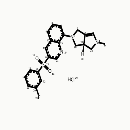 CN1C=C2CN(c3cccc4cc(S(=O)(=O)c5cccc(F)c5)cnc34)C[C@H]2C1.Cl